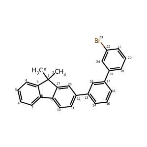 CC1(C)c2ccccc2-c2ccc(-c3cccc(-c4cccc(Br)c4)c3)cc21